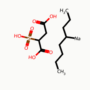 CCCC[CH]([Na])CCC.O=C(O)CC(C(=O)O)S(=O)(=O)O